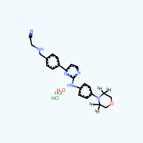 Cl.Cl.O.[2H]C1([2H])COCC([2H])([2H])N1c1ccc(Nc2nccc(-c3ccc(CNCC#N)cc3)n2)cc1